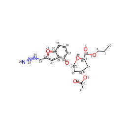 CCCOC(=O)[C@@H]1C[C@H](OC(C)=O)C[C@H](Oc2cccc3oc(CN=[N+]=[N-])cc23)O1